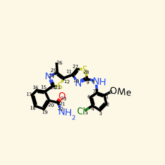 COc1ccc(Cl)cc1Nc1nc(-c2sc(-c3ccccc3C(N)=O)nc2C)cs1